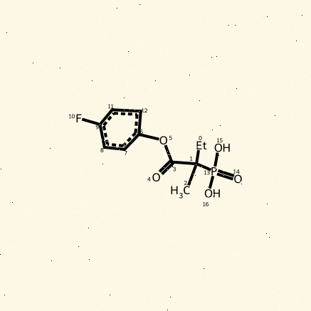 CCC(C)(C(=O)Oc1ccc(F)cc1)P(=O)(O)O